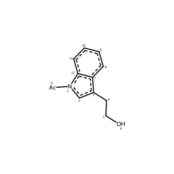 CC(=O)n1cc(CCO)c2ccccc21